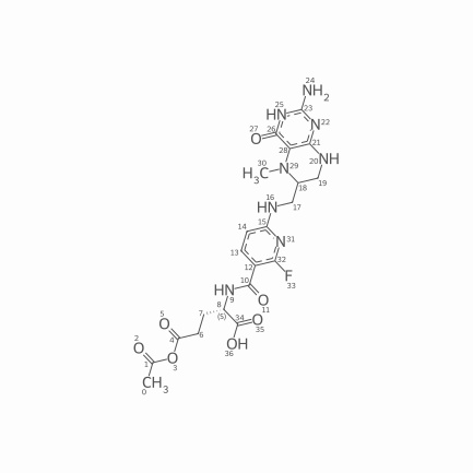 CC(=O)OC(=O)CC[C@H](NC(=O)c1ccc(NCC2CNc3nc(N)[nH]c(=O)c3N2C)nc1F)C(=O)O